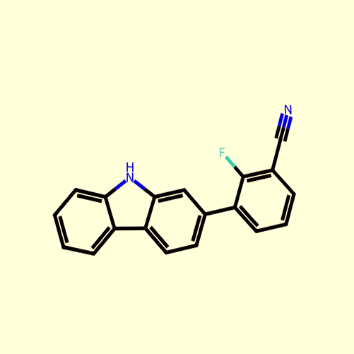 N#Cc1cccc(-c2ccc3c(c2)[nH]c2ccccc23)c1F